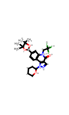 CC1(C)OB(c2ccc3c4c(cnn4C4CCCCO4)c(=O)n(CC(F)(F)F)c3c2)OC1(C)C